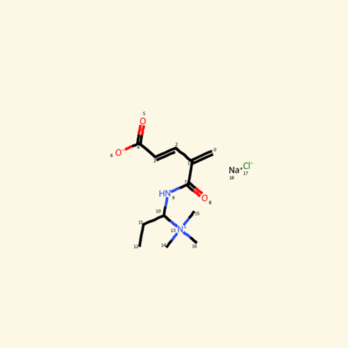 C=C(C=CC(=O)[O-])C(=O)NC(CC)[N+](C)(C)C.[Cl-].[Na+]